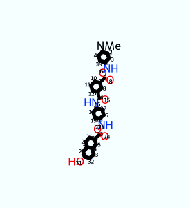 CNc1ccc(NOC(=O)c2cccc(C(=O)Nc3ccc(NOC(=O)c4ccc5cc(O)ccc5c4)cc3)c2)cc1